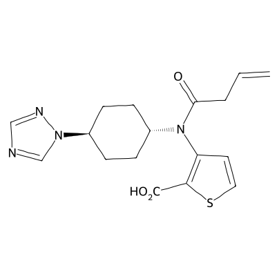 C=CCC(=O)N(c1ccsc1C(=O)O)[C@H]1CC[C@H](n2cncn2)CC1